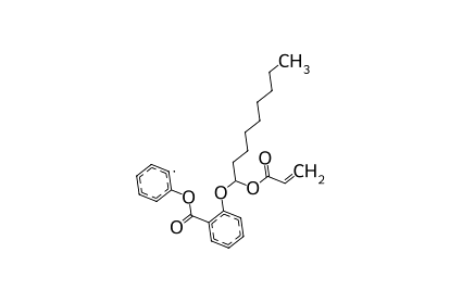 C=CC(=O)OC(CCCCCCCC)Oc1ccccc1C(=O)Oc1[c]cccc1